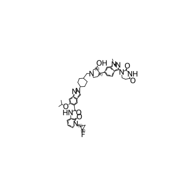 CC(C)Oc1cc2nn(C3CCC(CN4CC[C@H](c5ccc6c(N7CCC(=O)NC7=O)nn(C)c6c5)[C@H](O)C4)CC3)cc2cc1C(=O)Nc1cccn([C@H]2C[C@H]2F)c1=O